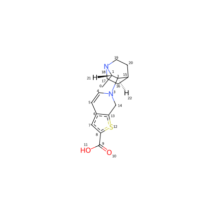 C[C@H]1[C@H](N2C=Cc3cc(C(=O)O)sc3C2)C2CCN1CC2